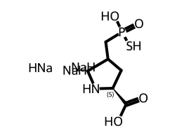 O=C(O)[C@@H]1CC(CP(=O)(O)S)CN1.[NaH].[NaH].[NaH]